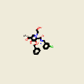 CC(C)(C)C(=O)c1cn(CCO)c(C(=O)NCc2cccc(Cl)c2)c(OCc2ccccc2)c1=O